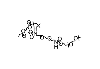 CCC(=O)O[C@@H](COC(=O)NCCOCCOCCNC(=O)OCCC(C)(C)OCCOC(C)(C)C)COC(=O)C(C)(C)CC(C)(C)C